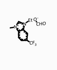 CCn1c[n+](C)c2ccc(C(F)(F)F)cc21.O=C[O-]